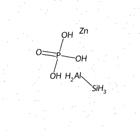 O=P(O)(O)O.[AlH2][SiH3].[Zn]